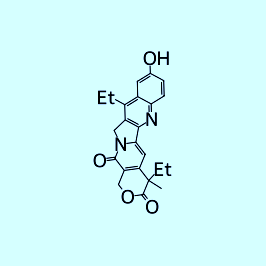 CCc1c2c(nc3ccc(O)cc13)-c1cc3c(c(=O)n1C2)COC(=O)C3(C)CC